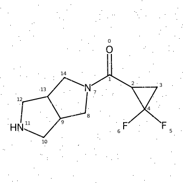 O=C(C1CC1(F)F)N1CC2CNCC2C1